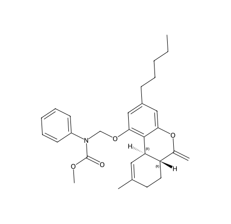 C=C1Oc2cc(CCCCC)cc(OCN(C(=O)OC)c3ccccc3)c2[C@@H]2C=C(C)CC[C@@H]12